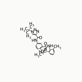 COc1ccc(NC(=O)c2cn(C(C)(C)C)nn2)cc1S(=O)(=O)Nc1c(C)cccc1C